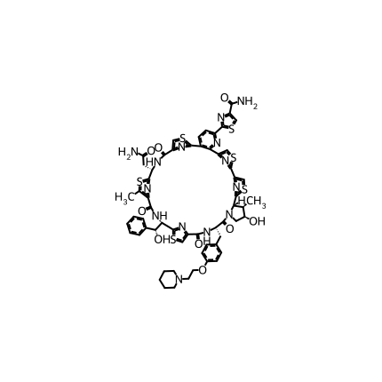 Cc1sc2nc1C(=O)N[C@@H]([C@H](O)c1ccccc1)c1nc(cs1)C(=O)N[C@@H](Cc1ccc(OCCN3CCCCC3)cc1)C(=O)N1C[C@H](O)[C@H](C)[C@H]1c1nc(cs1)-c1nc(cs1)-c1nc(-c3nc(C(N)=O)cs3)ccc1-c1nc(cs1)C(=O)N[C@H]2CC(N)=O